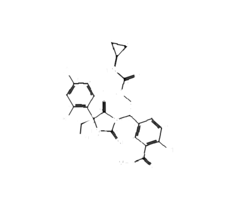 COC(=O)c1cc([C@@H](COC(=O)NC2CC2)N2C(=N)N[C@](CC(C)(C)C)(c3ccc(Br)cc3F)C2=O)ccc1Cl